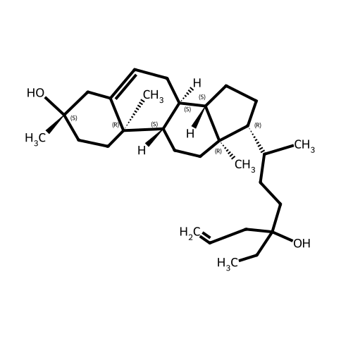 C=CCC(O)(CC)CCC(C)[C@H]1CC[C@H]2[C@@H]3CC=C4C[C@@](C)(O)CC[C@]4(C)[C@H]3CC[C@]12C